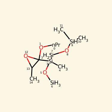 CCCOC1([Si](C)(O[SiH3])[SiH2]O[SiH](C)C)OC1C